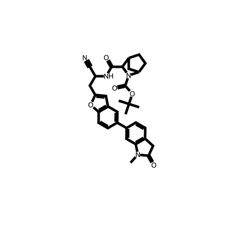 CN1C(=O)Cc2ccc(-c3ccc4oc(CC(C#N)NC(=O)C5C6CCC(C6)N5C(=O)OC(C)(C)C)cc4c3)cc21